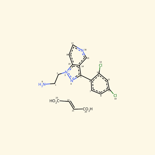 NCCn1nc(-c2ccc(Cl)cc2Cl)c2cnccc21.O=C(O)/C=C/C(=O)O